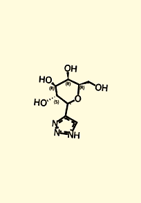 OC[C@H]1O[C](c2c[nH]nn2)[C@H](O)[C@@H](O)[C@H]1O